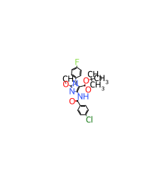 COc1nc(NC(=O)c2ccc(Cl)cc2)c(C(=O)OC(C)(C)C)n1-c1ccc(F)cc1